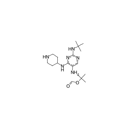 CC(C)(C)Nc1ncc(N)c(NC2CCNCC2)n1.CC(C)(C)OC=O